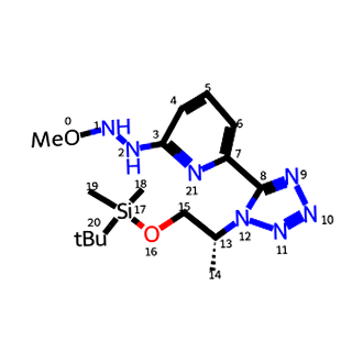 CONNc1cccc(-c2nnnn2[C@H](C)CO[Si](C)(C)C(C)(C)C)n1